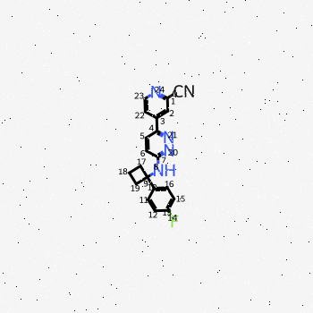 N#Cc1cc(-c2ccc(NC3(c4ccc(F)cc4)CCC3)nn2)ccn1